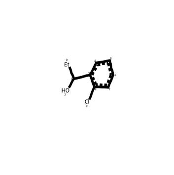 CCC(O)c1ccccc1Cl